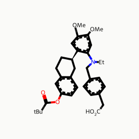 CCN(Cc1ccc(CC(=O)O)cc1)c1cc(OC)c(OC)cc1[C@@H]1CCc2cc(OC(=O)C(C)(C)C)ccc2C1